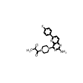 CC(Cl)C(=O)N1CCN(c2nc(N)nc3ccc(-c4ccc(F)cc4)nc23)CC1